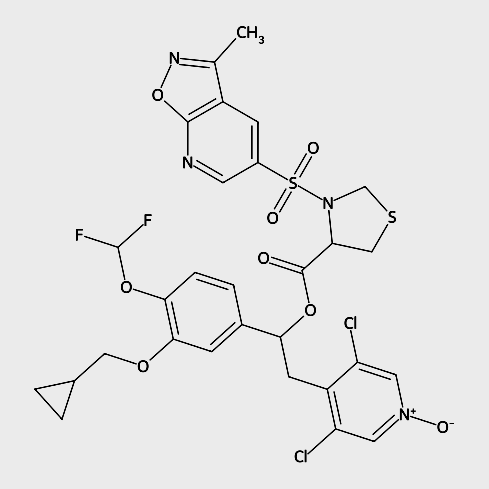 Cc1noc2ncc(S(=O)(=O)N3CSCC3C(=O)OC(Cc3c(Cl)c[n+]([O-])cc3Cl)c3ccc(OC(F)F)c(OCC4CC4)c3)cc12